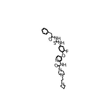 O=C(Cc1ccccc1)NC(=S)Nc1ccc(Oc2ccnc(NC(=O)N3CCN(CCN4CCC4)CC3)c2)c(F)c1